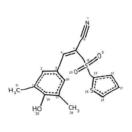 Cc1cc(C=C(C#N)S(=O)(=O)c2cccs2)cc(C)c1O